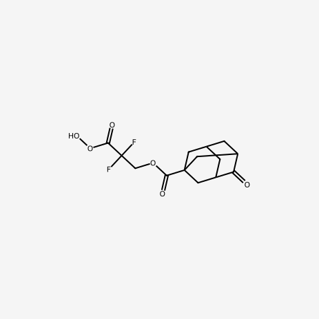 O=C1C2CC3CC1CC(C(=O)OCC(F)(F)C(=O)OO)(C3)C2